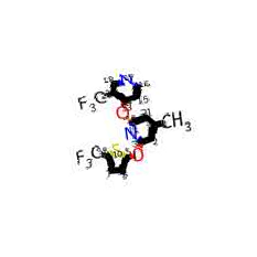 Cc1cc(Oc2ccc(C(F)(F)F)s2)nc(Oc2ccncc2C(F)(F)F)c1